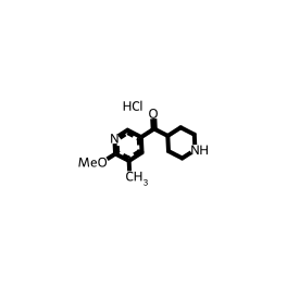 COc1ncc(C(=O)C2CCNCC2)cc1C.Cl